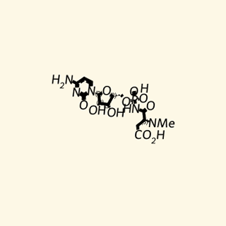 CN[C@@H](CC(=O)O)C(=O)NP(=O)(O)OC[C@H]1O[C@@H](n2ccc(N)nc2=O)[C@H](O)[C@@H]1O